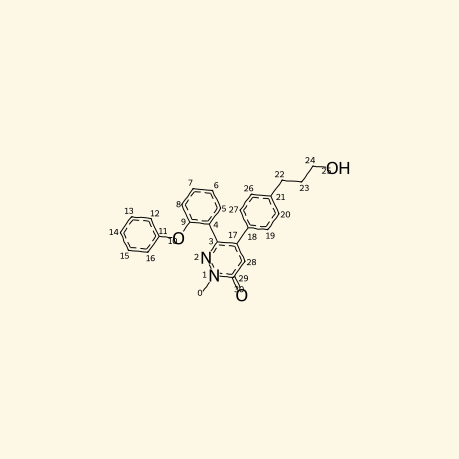 Cn1nc(-c2ccccc2Oc2ccccc2)c(-c2ccc(CCCO)cc2)cc1=O